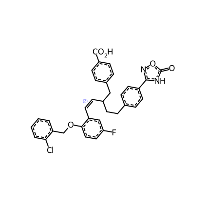 O=C(O)c1ccc(CC(/C=C\c2cc(F)ccc2OCc2ccccc2Cl)CCc2ccc(-c3noc(=O)[nH]3)cc2)cc1